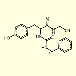 C[C@H](NC(=O)NC(Cc1ccc(O)cc1)C(=O)NCC#N)c1ccccc1